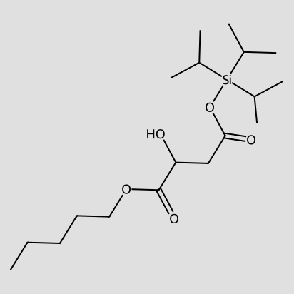 CCCCCOC(=O)C(O)CC(=O)O[Si](C(C)C)(C(C)C)C(C)C